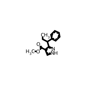 CCC(c1ccccc1)c1n[nH]cc1C(=O)OC